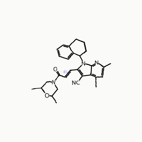 Cc1cc(C)c2c(C#N)c(/C=C/C(=O)N3CC(C)OC(C)C3)n(C3CCCc4ccccc43)c2n1